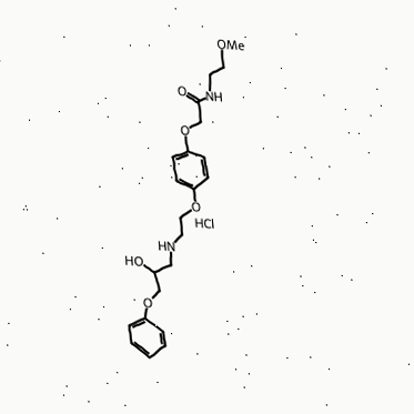 COCCNC(=O)COc1ccc(OCCNCC(O)COc2ccccc2)cc1.Cl